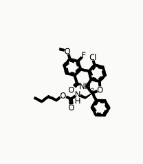 CCCCOC(=O)NC[C@@]1(c2ccccc2)Cc2c(ccc(Cl)c2-c2c(C(N)=O)ccc(OC)c2F)O1